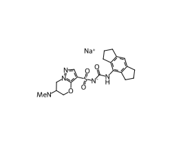 CNC1COc2c(S(=O)(=O)[N-]C(=O)Nc3c4c(cc5c3CCC5)CCC4)cnn2C1.[Na+]